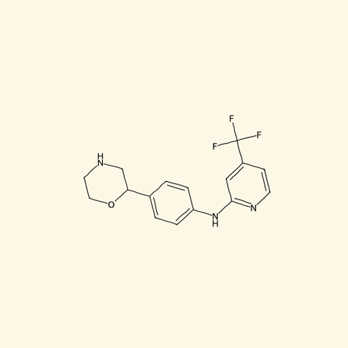 FC(F)(F)c1ccnc(Nc2ccc(C3CNCCO3)cc2)c1